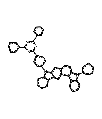 c1ccc(-c2nc(-c3ccccc3)nc(-c3ccc(-n4c5ccccc5c5cc6c(ccc7c6c6ccccc6n7-c6ccccc6)cc54)cc3)n2)cc1